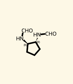 O=CN[C@@H]1CCC[C@H]1NC=O